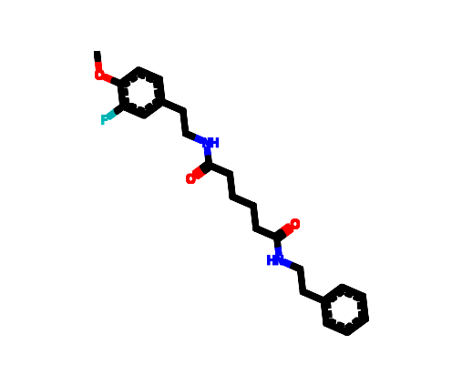 COc1ccc(CCNC(=O)CCCCC(=O)NCCc2ccccc2)cc1F